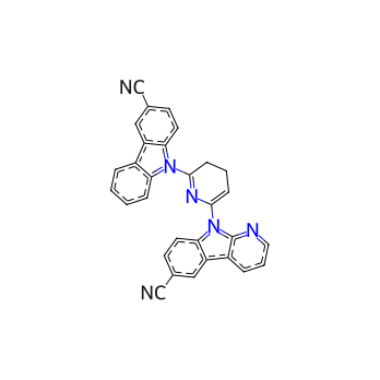 N#Cc1ccc2c(c1)c1ccccc1n2C1=NC(n2c3ccc(C#N)cc3c3cccnc32)=CCC1